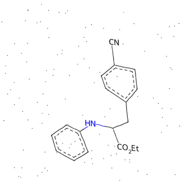 CCOC(=O)C(Cc1ccc(C#N)cc1)Nc1ccccc1